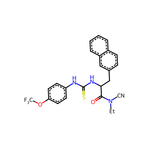 CCN(C#N)C(=O)C(Cc1ccc2ccccc2c1)NC(=S)Nc1ccc(OC(F)(F)F)cc1